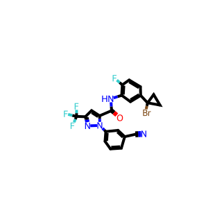 N#Cc1cccc(-n2nc(C(F)(F)F)cc2C(=O)Nc2cc(C3(Br)CC3)ccc2F)c1